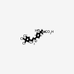 O=C(C=C(c1cc(Cl)c(Cl)c(Cl)c1)C(F)(F)F)c1ccc(C2(O)CN(C(=O)O)C2)cc1